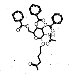 CC(=O)CCCCO[C@@H]1OC(COC(=O)c2ccccc2)[C@H](OC(=O)c2ccccc2)C(OC(=O)c2ccccc2)[C@@H]1NC(C)=O